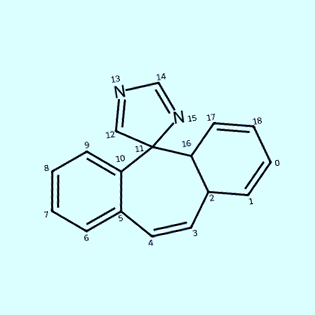 C1=CC2C=Cc3ccccc3C3(C=NC=N3)C2C=C1